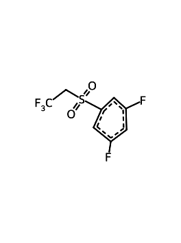 O=S(=O)(CC(F)(F)F)c1cc(F)cc(F)c1